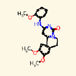 COc1ccccc1Nc1cc2n(c(=O)n1)CCc1cc(OC)c(OC)cc1-2